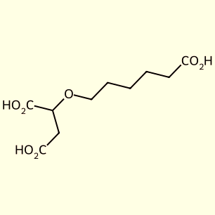 O=C(O)CCCCCOC(CC(=O)O)C(=O)O